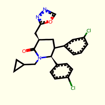 O=C1[C@@H](Cc2nnco2)CC(c2cccc(Cl)c2)[C@@H](c2ccc(Cl)cc2)N1CC1CC1